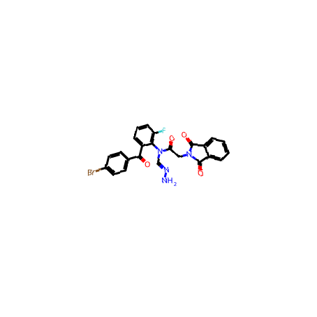 NN=CN(C(=O)CN1C(=O)c2ccccc2C1=O)c1c(F)cccc1C(=O)c1ccc(Br)cc1